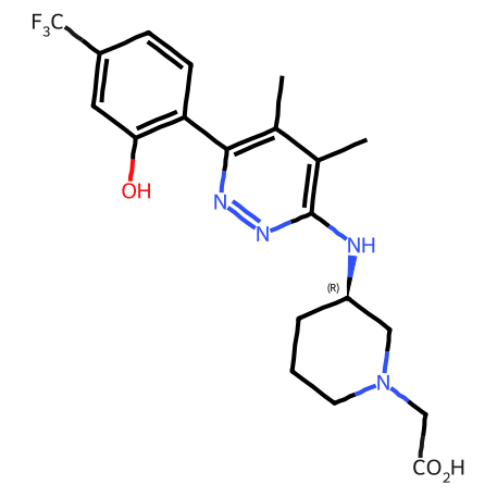 Cc1c(N[C@@H]2CCCN(CC(=O)O)C2)nnc(-c2ccc(C(F)(F)F)cc2O)c1C